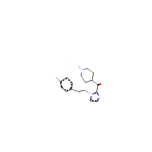 CCOC(=O)N1CCC(C(=O)c2nccn2CCc2ccc(Br)cc2)CC1